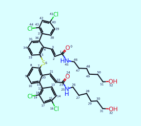 O=C(/C=C/c1c(Sc2cccc(-c3ccc(Cl)cc3Cl)c2/C=C/C(=O)NCCCCCCO)cccc1-c1ccc(Cl)cc1Cl)NCCCCCCO